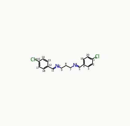 Clc1ccc(C=NCCCN=Cc2ccc(Cl)cc2)cc1